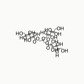 O=C(OCC(COC(=O)[C@H](O)[C@@H](O)[C@H](O)[C@H](O)CO)OC(=O)[C@H](O)[C@@H](O)[C@H](O)[C@H](O)CO)[C@H](O)[C@@H](O)[C@H](O)[C@H](O)CO